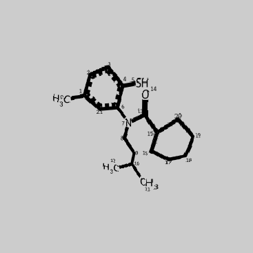 Cc1ccc(S)c(N(CCC(C)C)C(=O)C2CCCCC2)c1